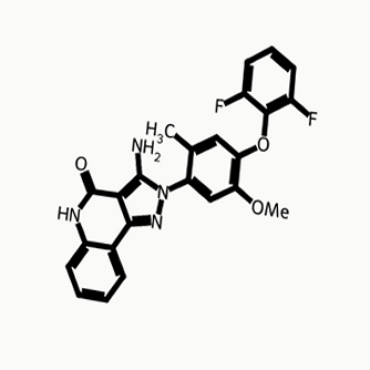 COc1cc(-n2nc3c(c2N)c(=O)[nH]c2ccccc23)c(C)cc1Oc1c(F)cccc1F